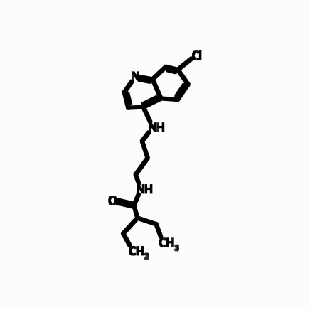 CCC(CC)C(=O)NCCCNc1ccnc2cc(Cl)ccc12